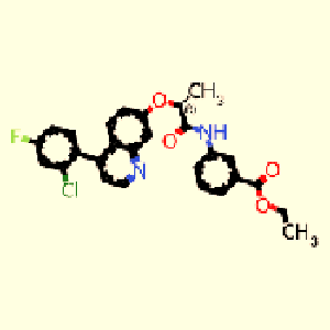 CCOC(=O)c1cccc(NC(=O)[C@@H](C)Oc2ccc3c(-c4ccc(F)cc4Cl)ccnc3c2)c1